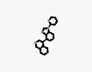 c1ccc(-n2cnc3c(-c4cncc5ccccc45)cccc32)nc1